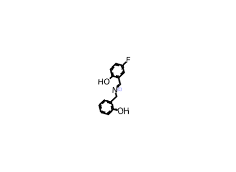 Oc1ccc(F)cc1/C=N/Cc1ccccc1O